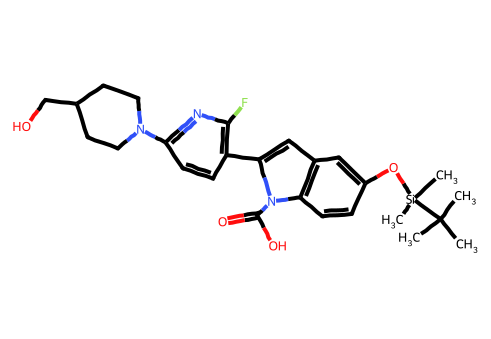 CC(C)(C)[Si](C)(C)Oc1ccc2c(c1)cc(-c1ccc(N3CCC(CO)CC3)nc1F)n2C(=O)O